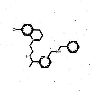 CC(NCCC1=CCCc2ccc(Cl)cc21)c1cccc(CNCc2ccccc2)c1